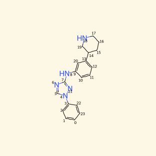 c1ccc(-n2cnc(Nc3cccc(C4CCCNC4)c3)n2)cc1